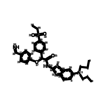 CCCN(CCC)c1ccc2nc(NC(=O)C(Oc3ccc(C=N)cc3)c3ccc(S(=O)(=O)CC)cc3)sc2c1